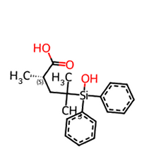 C[C@@H](CC(C)(C)[Si](O)(c1ccccc1)c1ccccc1)C(=O)O